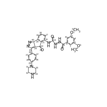 COc1cc(OC)cc(C(=O)NNC(=O)Nc2cccc3c2C(=O)C2=C(c4ccc(N5CCNCC5)cc4)N=NC23)c1